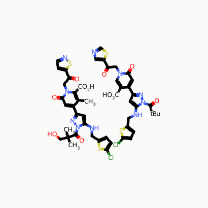 CC(C)(C)C(=O)n1nc(-c2cc(=O)n(CC(=O)c3cncs3)cc2C(=O)O)cc1NCc1ccc(Cl)s1.Cc1c(-c2cc(NCc3ccc(Cl)s3)n(C(=O)C(C)(C)CO)n2)cc(=O)n(CC(=O)c2ccns2)c1C(=O)O